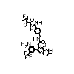 CC(C)Nc1ncc(-c2cc(N)cc(C(F)(F)F)c2)n(CC(=O)NCc2ccc(C(=N)NC(=O)C(=O)C(F)(F)F)cc2)c1=O